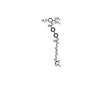 C=CC(=O)OCCOCCOCCOC(=O)Oc1ccc(-c2ccc(C(=O)OC3CC(C)CCC3C(C)C)cc2)cc1